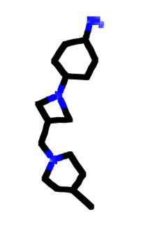 CC1CCN(CC2CN(C3CCC(N)CC3)C2)CC1